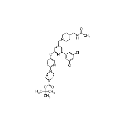 CC(=O)NCC1CCN(Cc2cc(Oc3ccc(N4CC5CC4CN5C(=O)OC(C)(C)C)nc3)nc(-c3cc(Cl)cc(Cl)c3)c2)CC1